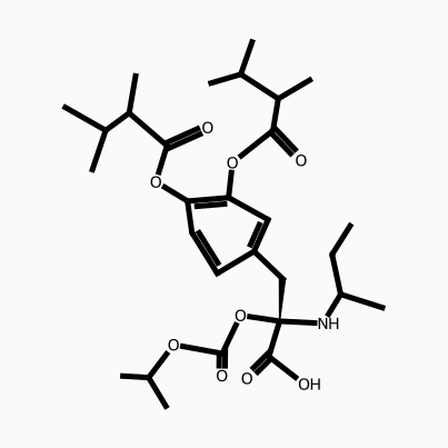 CCC(C)N[C@@](Cc1ccc(OC(=O)C(C)C(C)C)c(OC(=O)C(C)C(C)C)c1)(OC(=O)OC(C)C)C(=O)O